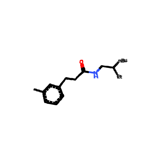 CCCCC(CC)CNC(=O)CCc1cccc(C)c1